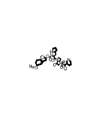 COc1ccc2oc(OC(=O)NC(Cc3cccs3)C(=O)N3CCC4C3C(=O)CN4S(=O)(=O)C(=O)c3cccnc3)cc2c1